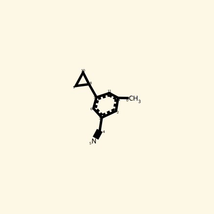 Cc1cc(C#N)cc(C2CC2)c1